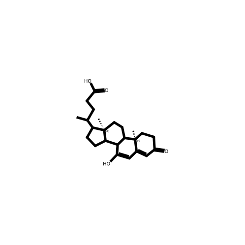 CC(CCC(=O)O)C1CCC2C3C(O)=CC4=CC(=O)CC[C@]4(C)C3CC[C@]12C